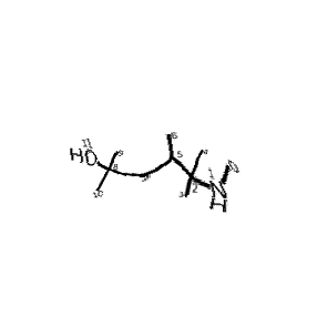 CNC(C)(C)C(C)CC(C)(C)O